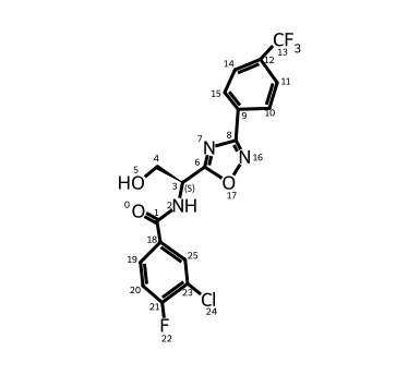 O=C(N[C@@H](CO)c1nc(-c2ccc(C(F)(F)F)cc2)no1)c1ccc(F)c(Cl)c1